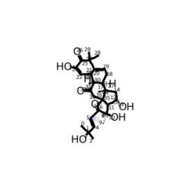 CC(C)(O)/C=C/C(=O)[C@](C)(O)C1[C@@H](O)C[C@@]2(C)[C@@H]3CC=C4[C@H](C=C(O)C(=O)C4(C)C)[C@@]3(C)C(=O)CC12C